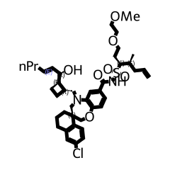 C=CC[C@H](C)[C@H](CCOCCOC)S(=O)(=O)NC(=O)c1ccc2c(c1)N(C[C@@H]1CC[C@H]1[C@@H](O)/C=C/CCC)C[C@@]1(CCCc3cc(Cl)ccc31)CO2